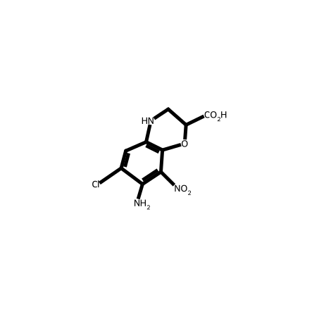 Nc1c(Cl)cc2c(c1[N+](=O)[O-])OC(C(=O)O)CN2